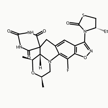 CC[C@H]1CSC(=O)N1c1noc2c(F)c3c(cc12)CC1(C(=O)NC(=O)NC1=O)[C@H]1[C@H](C)O[C@H](C)CN31